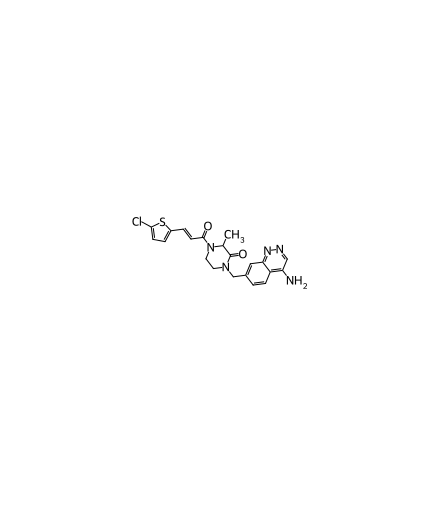 CC1C(=O)N(Cc2ccc3c(N)cnnc3c2)CCN1C(=O)/C=C/c1ccc(Cl)s1